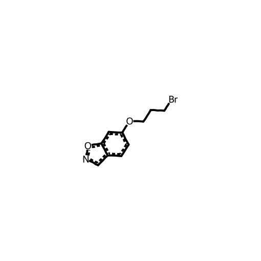 BrCCCOc1ccc2cnoc2c1